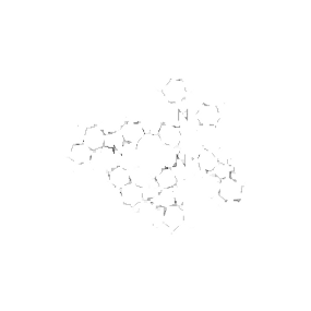 c1ccc(N(c2ccccc2)c2cc(-c3ccc4c5ccc6ccccc6c5n(-c5ccc6ccccc6c5)c4c3)cc(N(c3ccc4sc5ccccc5c4c3)c3ccc4sc5ccccc5c4c3)c2)cc1